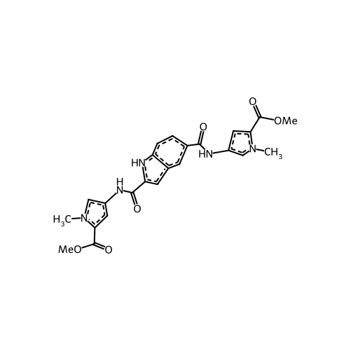 COC(=O)c1cc(NC(=O)c2ccc3[nH]c(C(=O)Nc4cc(C(=O)OC)n(C)c4)cc3c2)cn1C